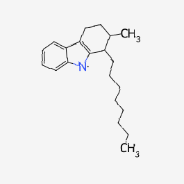 CCCCCCCCC1C2=C(CCC1C)c1ccccc1[N]2